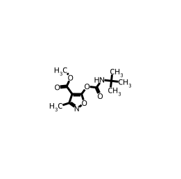 COC(=O)c1c(C)noc1OC(=O)NC(C)(C)C